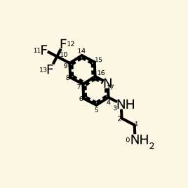 NCCNc1ccc2cc(C(F)(F)F)ccc2n1